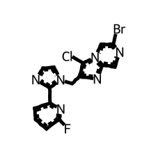 Fc1cccc(-c2nccn2Cc2nc3cnc(Br)cn3c2Cl)n1